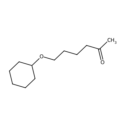 CC(=O)CCCCOC1CCCCC1